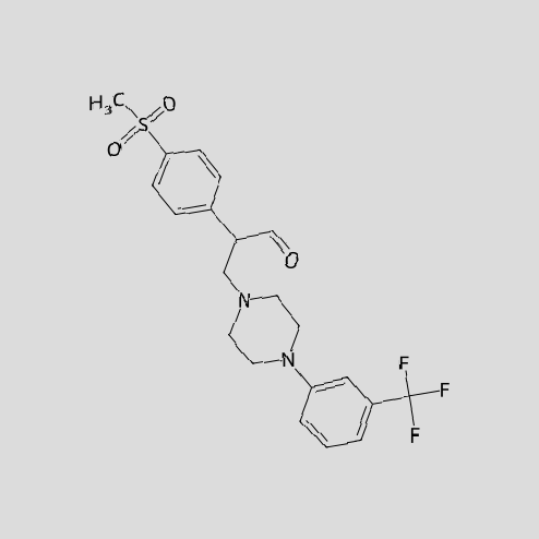 CS(=O)(=O)c1ccc(C(C=O)CN2CCN(c3cccc(C(F)(F)F)c3)CC2)cc1